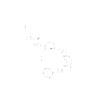 O=C(Nc1ccc2cc1CCc1cccc(c1)Nc1ncc(Cl)c(n1)N2)NC1CCCC1